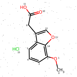 COc1cccc2c(CC(=O)O)coc12.Cl